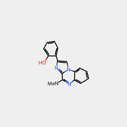 CNc1nc2ccccc2n2cc(-c3ccccc3O)nc12